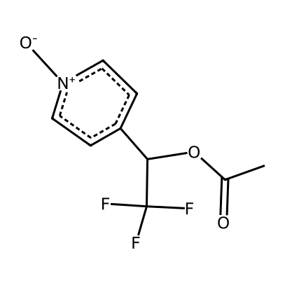 CC(=O)OC(c1cc[n+]([O-])cc1)C(F)(F)F